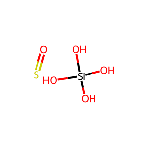 O=S.O[Si](O)(O)O